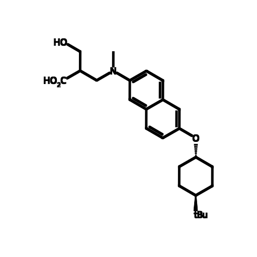 CN(CC(CO)C(=O)O)c1ccc2cc(O[C@H]3CC[C@H](C(C)(C)C)CC3)ccc2c1